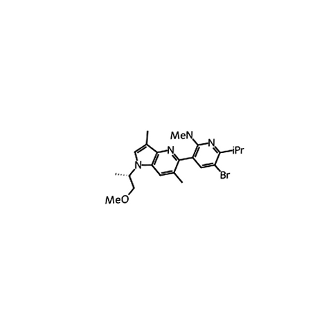 CNc1nc(C(C)C)c(Br)cc1-c1nc2c(C)cn([C@@H](C)COC)c2cc1C